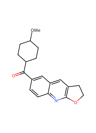 COC1CCC(C(=O)c2ccc3nc4c(cc3c2)CCO4)CC1